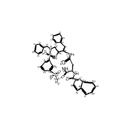 NC(=O)C(CC(=O)NC(Cc1ccccc1)C(O)CN(Cc1ccccc1)S(=O)(=O)c1cccc(S(N)(=O)=O)c1)NC(=O)c1ccc2ccccc2n1